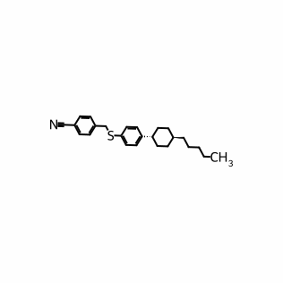 CCCCC[C@H]1CC[C@H](c2ccc(SCc3ccc(C#N)cc3)cc2)CC1